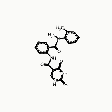 Cc1ccccc1N(N)C(=O)c1ccccc1NC(=O)c1c[nH]c(=O)[nH]c1=O